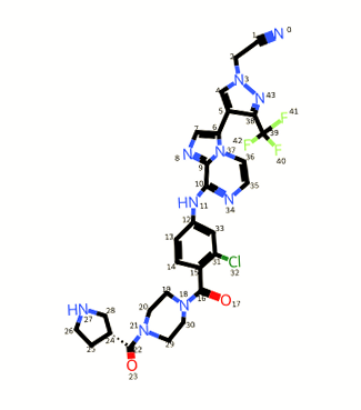 N#CCn1cc(-c2cnc3c(Nc4ccc(C(=O)N5CCN(C(=O)[C@@H]6CCNC6)CC5)c(Cl)c4)nccn23)c(C(F)(F)F)n1